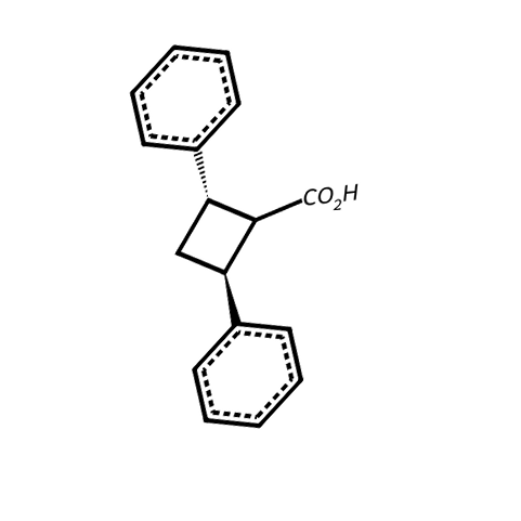 O=C(O)C1[C@@H](c2ccccc2)C[C@@H]1c1ccccc1